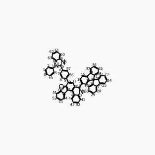 c1ccc(-n2c(-c3ccc(-c4cc5c(-c6ccc7c(c6)C6(c8ccccc8-c8ccccc86)c6ccccc6-7)nc6ccccc6c5c5c4oc4ccccc45)cc3)nc3ccccc32)cc1